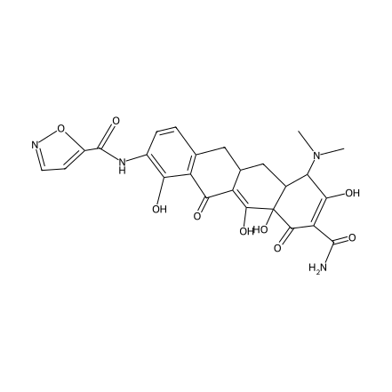 CN(C)C1C(O)=C(C(N)=O)C(=O)C2(O)C(O)=C3C(=O)c4c(ccc(NC(=O)c5ccno5)c4O)CC3CC12